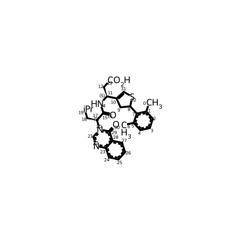 Cc1cccc(C)c1C1CC([C@H](CC(=O)O)NC(=O)[C@H](CC(C)C)n2cnc3ccccc3c2=O)=CS1